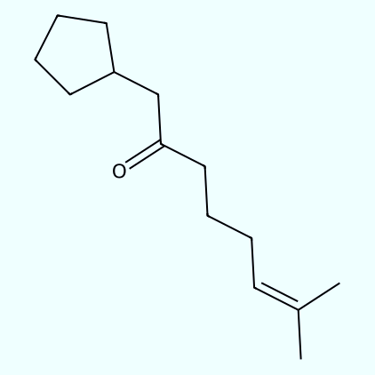 CC(C)=CCCCC(=O)CC1CCCC1